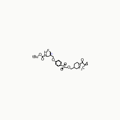 CC(C)(C)OC(=O)NC/C(=C\F)COc1ccc(S(=O)(=O)COCC2CCN(C(=O)C3(C(F)(F)F)CC3)CC2)cc1